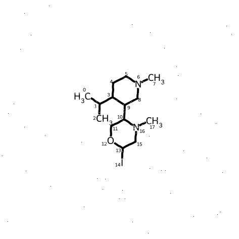 CC(C)C1CCN(C)CC1C1COC(I)CN1C